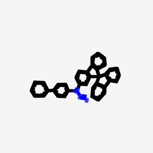 NN(c1ccc(-c2ccccc2)cc1)c1ccc2c(c1)C1(c3ccccc3-c3ccccc31)c1ccccc1-2